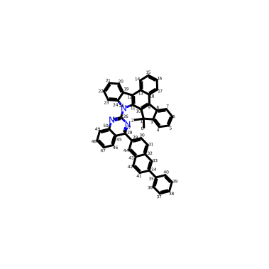 CC1(C)c2ccccc2-c2c1c1c(c3ccccc23)c2ccccc2n1-c1nc(-c2ccc3cc(-c4ccccc4)ccc3c2)c2ccccc2n1